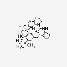 CC(C)(C)c1cc(CCc2ccccc2NC(=O)N2CCCc3ccccc32)cc(C(C)(C)C)c1O